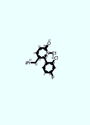 CCn1c(-c2ccc(F)cc2Cl)c(CC(C)C)ccc1=O